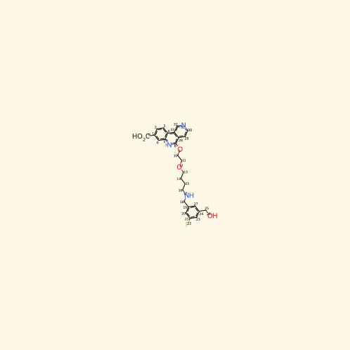 O=C(O)c1ccc2c(c1)nc(OCCOCCCCNCc1cc(F)cc(CO)c1)c1ccncc12